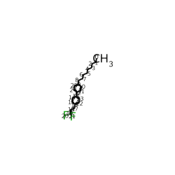 CCCCCCCCCc1ccc(-c2ccc(CC=C(F)F)cc2)cc1